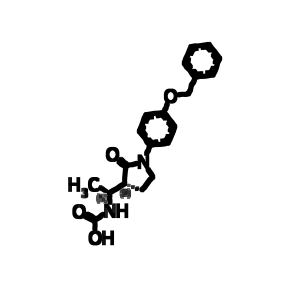 C[C@H](NC(=O)O)[C@H]1CCN(c2ccc(OCc3ccccc3)cc2)C1=O